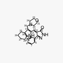 O=C1NN=C(c2cccnc2)/C1=C\c1[nH]c2c(c1CN1CCOCC1)CCCC2